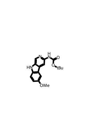 COc1ccc2[nH]c3cnc(NC(=O)OC(C)(C)C)cc3c2c1